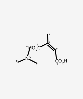 C/C(=C/C(=O)O)C(=O)O.CN(C)C